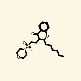 CCCCCCC1Oc2ccccc2C(=O)C1CCS(=O)(=O)N1CCOCC1